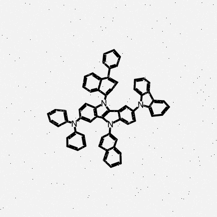 c1ccc(-c2ccc(-n3c4ccc(N(c5ccccc5)c5ccccc5)cc4c4c3c3cc(-n5c6ccccc6c6ccccc65)ccc3n4-c3ccc4ccccc4c3)c3ccccc23)cc1